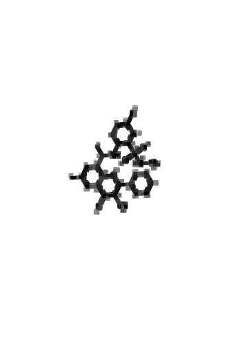 Cc1cc(C(C)Nc2ccc(Cl)nc2S(=O)(=O)NC(C)(C)C)c2oc(-c3ccccc3)c(C#N)c(=O)c2c1